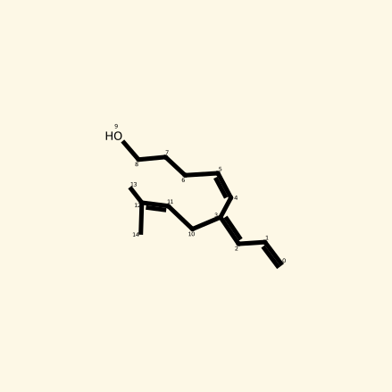 C=C/C=C(\C=C/CCCO)CC=C(C)C